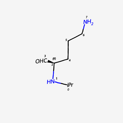 CC(C)N[C@@H](C=O)CCCN